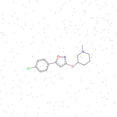 CN1CCCC(Oc2cc(-c3ccc(Cl)cc3)on2)C1